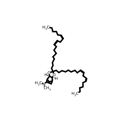 CCCCC/C=C\C/C=C\CCCCCCCCC1(CCCCCCCC/C=C\C/C=C\CCCCC)O[C@@H]2C3CC(CC3N(C)C)[C@@H]2O1